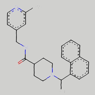 COc1cc(CNC(=O)C2CCN(C(C)c3cccc4ccccc34)CC2)ccn1